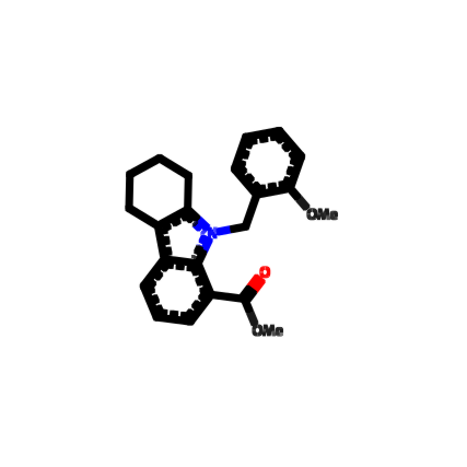 COC(=O)c1cccc2c3c(n(Cc4ccccc4OC)c12)CCCC3